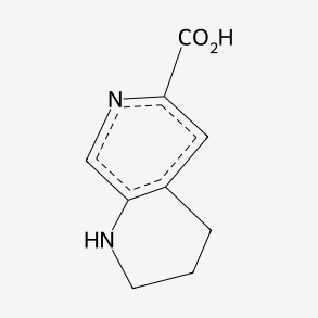 O=C(O)c1cc2c(cn1)NCCC2